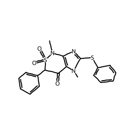 CN1c2nc(Sc3ccccc3)n(C)c2C(=O)C(c2ccccc2)S1(=O)=O